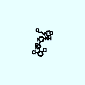 O=CCCN1CCOCC1Nc1ccnc(-c2cc(-c3c(Cl)cccc3Cl)no2)c1